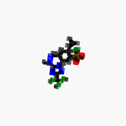 CNc1nc(C(F)(F)F)nn1-c1cc(S(=O)(=O)Cl)c(C2CC2)cc1C